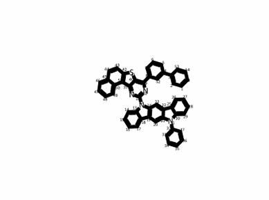 c1ccc(-c2cccc(-c3nc(-n4c5ccccc5c5cc6c(cc54)c4ccccc4n6-c4ccccc4)nc4c3sc3ccc5ccccc5c34)c2)cc1